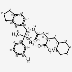 COC(=O)[C@H](CC1CCCCC1)NC(=O)O[C@@H](c1ccc2c(c1)CCC2)C(C)(C)c1cccc(Cl)c1